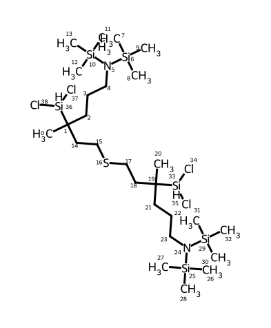 CC(CCCN([Si](C)(C)C)[Si](C)(C)C)(CCSCCC(C)(CCCN([Si](C)(C)C)[Si](C)(C)C)[SiH](Cl)Cl)[SiH](Cl)Cl